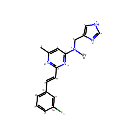 Cc1cc(N(Cc2c[nH]cn2)C(C)C)nc(C=Cc2cccc(F)c2)n1